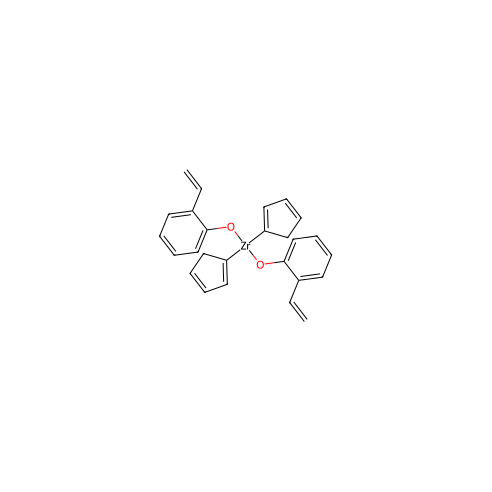 C=Cc1ccccc1[O][Zr]([O]c1ccccc1C=C)([C]1=CC=CC1)[C]1=CC=CC1